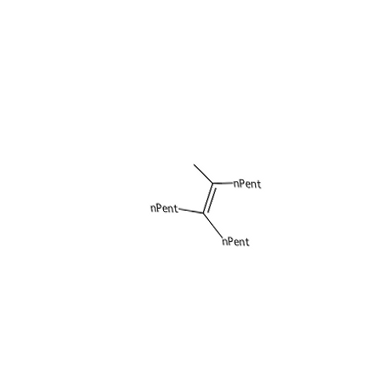 CCCCCC(C)=C(CCCCC)CCCCC